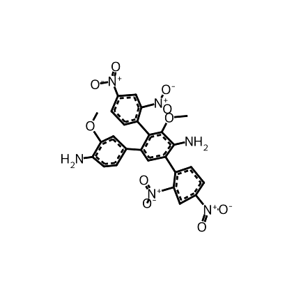 COc1cc(-c2cc(-c3ccc([N+](=O)[O-])cc3[N+](=O)[O-])c(N)c(OC)c2-c2ccc([N+](=O)[O-])cc2[N+](=O)[O-])ccc1N